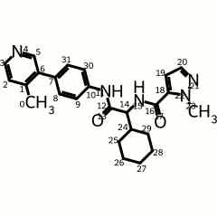 Cc1ccncc1-c1ccc(NC(=O)C(NC(=O)c2ccnn2C)C2CCCCC2)cc1